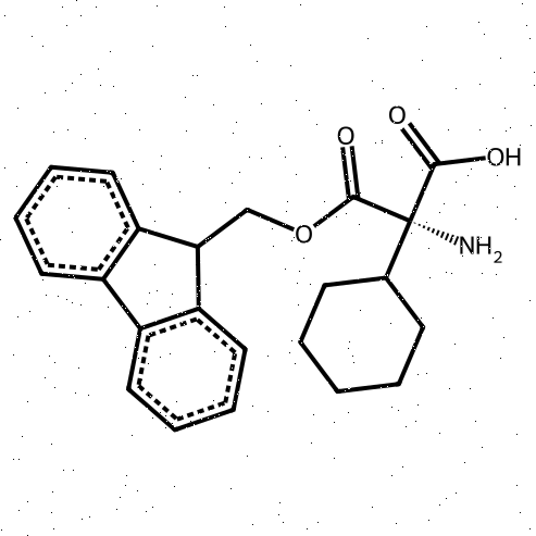 N[C@@](C(=O)O)(C(=O)OCC1c2ccccc2-c2ccccc21)C1CCCCC1